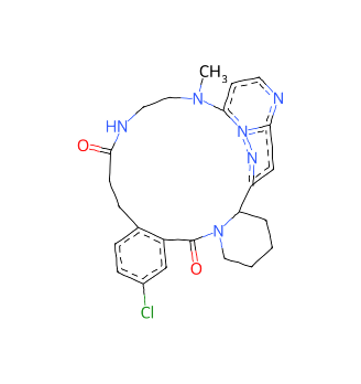 CN1CCNC(=O)CCc2ccc(Cl)cc2C(=O)N2CCCCC2c2cc3nccc1n3n2